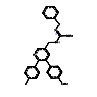 CN/C(=N\Sc1ccccc1)NCc1cnc(-c2ccc(C)cc2)c(-c2ccc(OC)cc2)c1